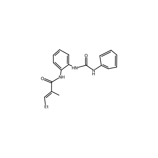 CC/C=C(\C)C(=O)Nc1ccccc1NC(=O)Nc1ccccc1